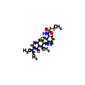 CCCS(=O)(=O)Nc1ccc(F)c(Nc2ccc3ncn(C(C)C)c(=O)c3c2C)c1Cl